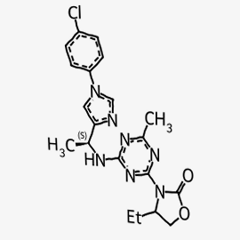 CCC1COC(=O)N1c1nc(C)nc(N[C@@H](C)c2cn(-c3ccc(Cl)cc3)cn2)n1